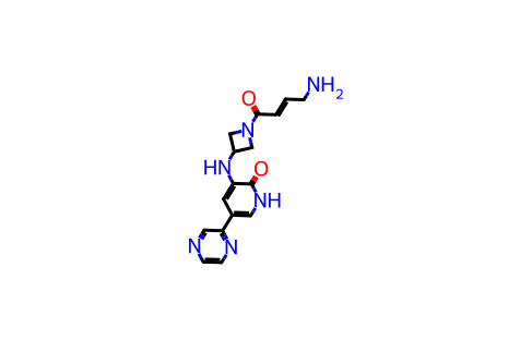 NC/C=C/C(=O)N1CC(Nc2cc(-c3cnccn3)c[nH]c2=O)C1